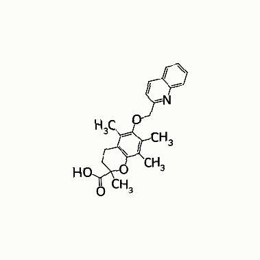 Cc1c(C)c2c(c(C)c1OCc1ccc3ccccc3n1)CCC(C)(C(=O)O)O2